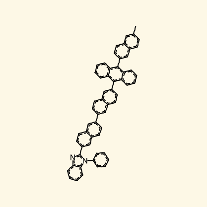 Cc1ccc2cc(-c3c4ccccc4c(-c4ccc5cc(-c6ccc7cc(-c8nc9ccccc9n8-c8ccccc8)ccc7c6)ccc5c4)c4ccccc34)ccc2c1